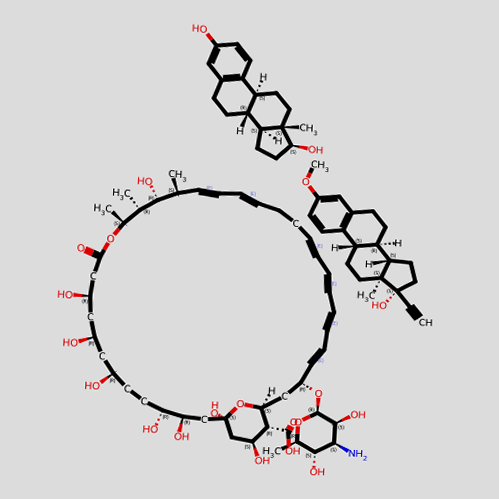 C#C[C@]1(O)CC[C@H]2[C@@H]3CCc4cc(OC)ccc4[C@H]3CC[C@@]21C.C[C@@H]1[C@H](O)[C@@H](C)/C=C/C=C/CC/C=C/C=C/C=C/C=C/[C@H](O[C@@H]2O[C@H](C)[C@@H](O)[C@H](N)[C@@H]2O)C[C@@H]2O[C@](O)(C[C@@H](O)[C@H](O)CC[C@@H](O)C[C@@H](O)C[C@@H](O)CC(=O)O[C@H]1C)C[C@H](O)[C@H]2C(=O)O.C[C@]12CC[C@@H]3c4ccc(O)cc4CC[C@H]3[C@@H]1CC[C@@H]2O